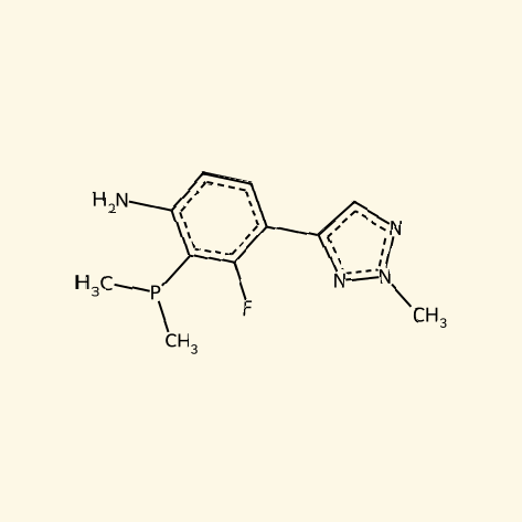 Cn1ncc(-c2ccc(N)c(P(C)C)c2F)n1